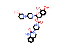 O=C(O[C@H](Cc1ccc(O)c(Br)c1)C(=O)N1CCC(N2CCC[C@@H](O)C2)CC1)N1CCC(N2CCc3ccccc3NC2=O)CC1